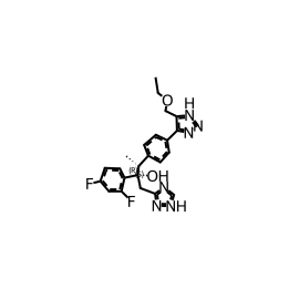 CCOCc1[nH]nnc1-c1ccc([C@@H](C)[C@@](O)(Cc2nc[nH]n2)c2ccc(F)cc2F)cc1